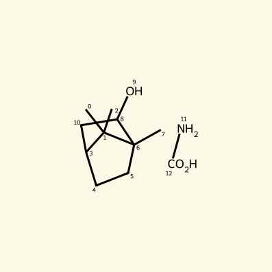 CC1(C)C2CCC1(C)C(O)C2.NC(=O)O